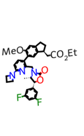 CCOC(=O)C[C@@H]1CCc2cc(OC)c(-c3ccc(N4CCC4)nc3CN3C(=O)O[C@H](c4cc(F)cc(F)c4)[C@@H]3C)cc21